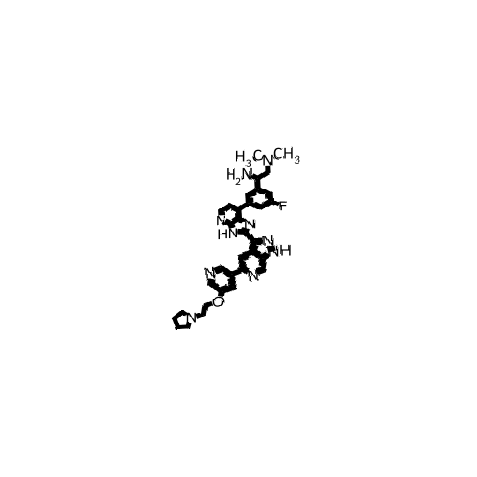 CN(C)CC(N)c1cc(F)cc(-c2ccnc3[nH]c(-c4n[nH]c5cnc(-c6cncc(OCCN7CCCC7)c6)cc45)nc23)c1